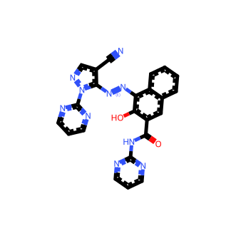 N#Cc1cnn(-c2ncccn2)c1/N=N/c1c(O)c(C(=O)Nc2ncccn2)cc2ccccc12